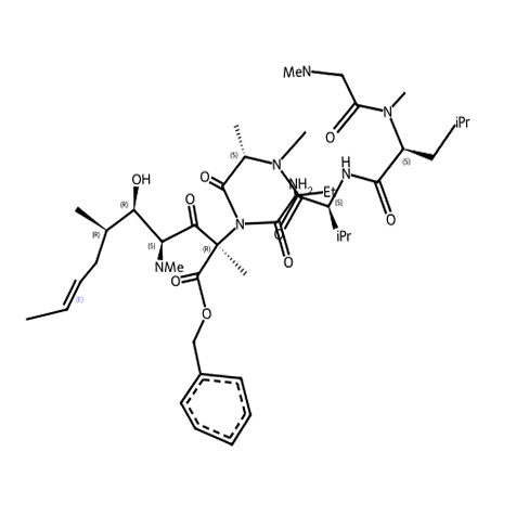 C/C=C/C[C@@H](C)[C@@H](O)[C@H](NC)C(=O)[C@](C)(C(=O)OCc1ccccc1)N(C(=O)C(N)CC)C(=O)[C@H](C)N(C)C(=O)[C@@H](NC(=O)[C@H](CC(C)C)N(C)C(=O)CNC)C(C)C